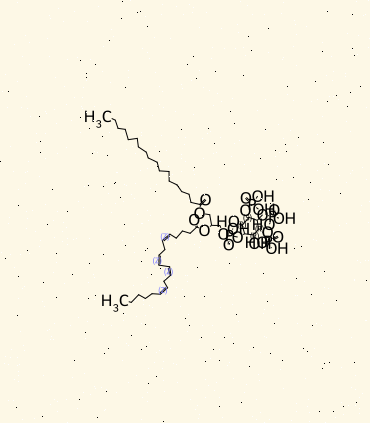 CCCCC/C=C\C/C=C\C=C/C/C=C\CCCC(=O)OC(COC(=O)CCCCCCCCCCCCCCCCC)COP(=O)(O)OC1[C@@H](O)[C@H](OP(=O)(O)O)C(OP(=O)(O)O)[C@H](OP(=O)(O)O)[C@@H]1O